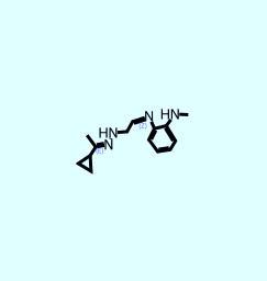 CNc1ccccc1/N=C\CN/N=C(\C)C1CC1